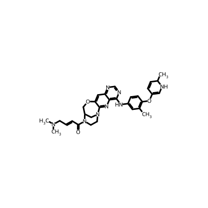 Cc1cc(Nc2ncnc3cc4c(nc23)N2CCN(C(=O)/C=C/CN(C)C)C(CO4)C2)ccc1OC1=CNC(C)C=C1